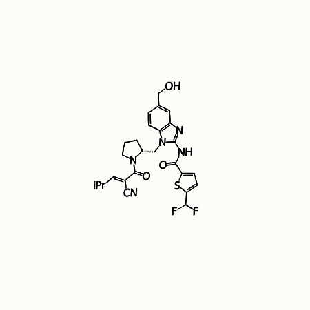 CC(C)/C=C(\C#N)C(=O)N1CCC[C@@H]1Cn1c(NC(=O)c2ccc(C(F)F)s2)nc2cc(CO)ccc21